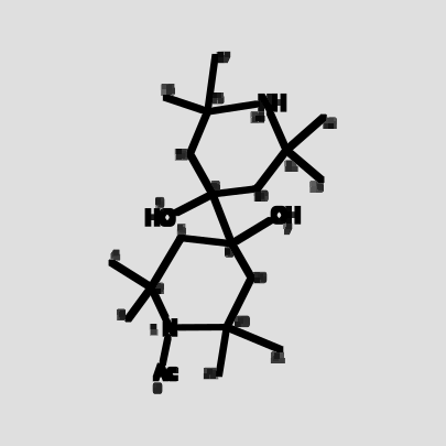 CC(=O)N1C(C)(C)CC(O)(C2(O)CC(C)(C)NC(C)(C)C2)CC1(C)C